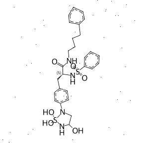 O=C(NCCCCc1ccccc1)[C@H](Cc1ccc(N2CC(O)NS2(O)O)cc1)NS(=O)(=O)c1ccccc1